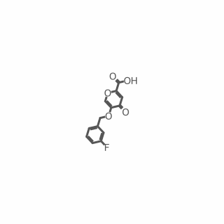 O=C(O)c1cc(=O)c(OCc2cccc(F)c2)co1